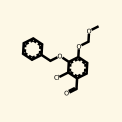 COCOc1ccc(C=O)c(Cl)c1OCc1ccccc1